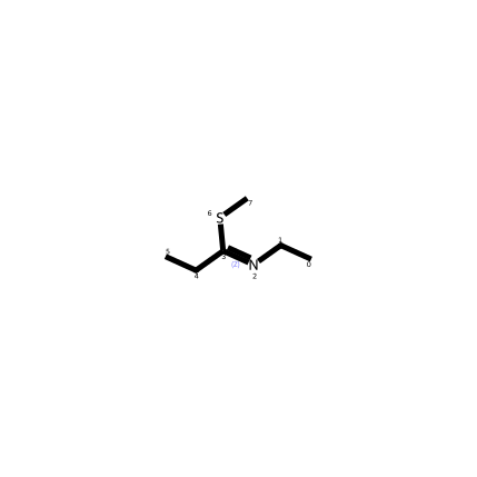 CC/N=C(/CC)SC